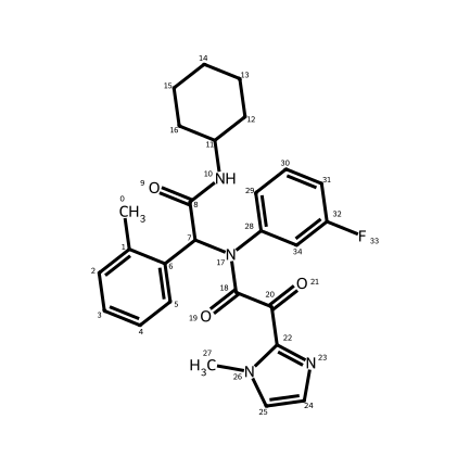 Cc1ccccc1C(C(=O)NC1CCCCC1)N(C(=O)C(=O)c1nccn1C)c1cccc(F)c1